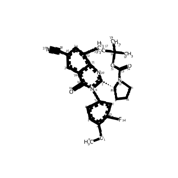 COc1ccc(-n2c([C@H]3CCCN3C(=O)OC(C)(C)C)nc3c(C)cc(C#N)cc3c2=O)cc1F